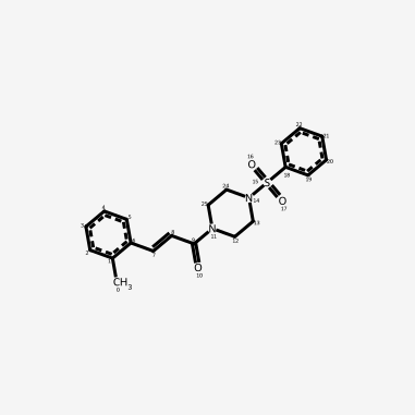 Cc1ccccc1C=CC(=O)N1CCN(S(=O)(=O)c2ccccc2)CC1